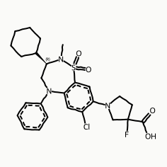 CN1[C@H](C2CCCCC2)CN(c2ccccc2)c2cc(Cl)c(N3CCC(F)(C(=O)O)C3)cc2S1(=O)=O